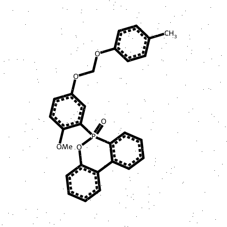 COc1ccc(OCOc2ccc(C)cc2)cc1P1(=O)Oc2ccccc2-c2ccccc21